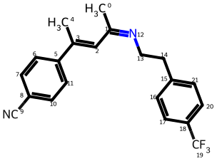 CC(/C=C(\C)c1ccc(C#N)cc1)=N/CCc1ccc(C(F)(F)F)cc1